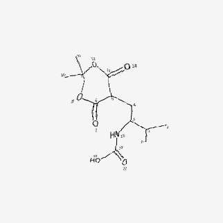 CC(C)C(CC1C(=O)OC(C)(C)OC1=O)NC(=O)O